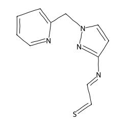 S=CC=Nc1ccn(Cc2ccccn2)n1